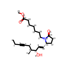 CCC#CC[C@H](C)[C@@H](O)C=C[C@H]1CCC(=O)N1CCCCCCC(=O)OC